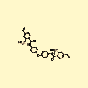 C=Cc1ccc(C(=O)Nc2ccc(Oc3ccc(NC(=O)c4ccc(C=C)cc4C(=O)O)cc3)cc2)c(C(=O)O)c1